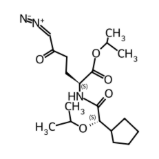 CC(C)OC(=O)[C@H](CCC(=O)C=[N+]=[N-])NC(=O)[C@@H](OC(C)C)C1CCCC1